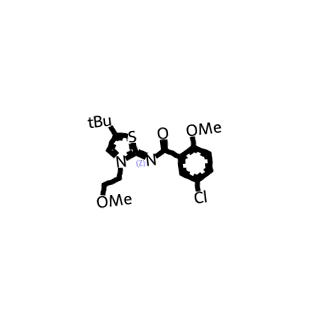 COCCn1cc(C(C)(C)C)s/c1=N\C(=O)c1cc(Cl)ccc1OC